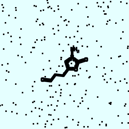 Nn1cc(CCC=O)oc1=O